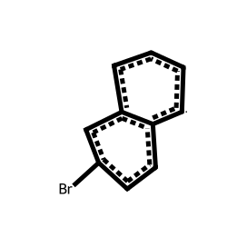 Brc1ccc2[c]cccc2c1